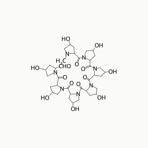 CN1CC(O)CC1C(=O)N1CC(O)CC1C(=O)N1CC(O)CC1C(=O)N1CC(O)CC1C(=O)N1CC(O)CC1C(=O)N1CC(O)CC1C(=O)N1CC(O)CC1C=O